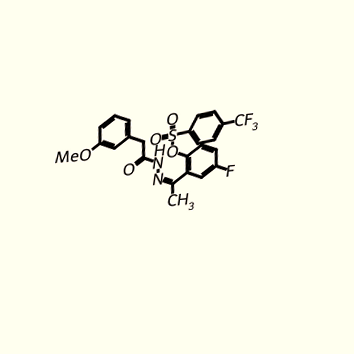 COc1cccc(CC(=O)NN=C(C)c2cc(F)ccc2OS(=O)(=O)c2ccc(C(F)(F)F)cc2)c1